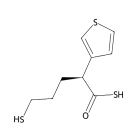 O=C(S)[C@@H](CCCS)c1ccsc1